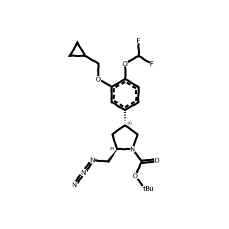 CC(C)(C)OC(=O)N1C[C@@H](c2ccc(OC(F)F)c(OCC3CC3)c2)C[C@@H]1CN=[N+]=[N-]